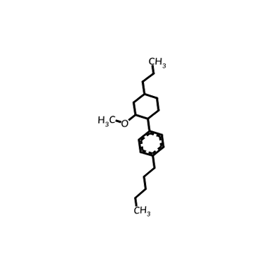 CCCCCc1ccc(C2CCC(CCC)CC2OC)cc1